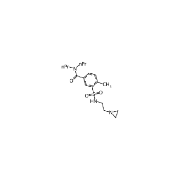 CCCN(CCC)C(=O)c1ccc(C)c(S(=O)(=O)NCCN2CC2)c1